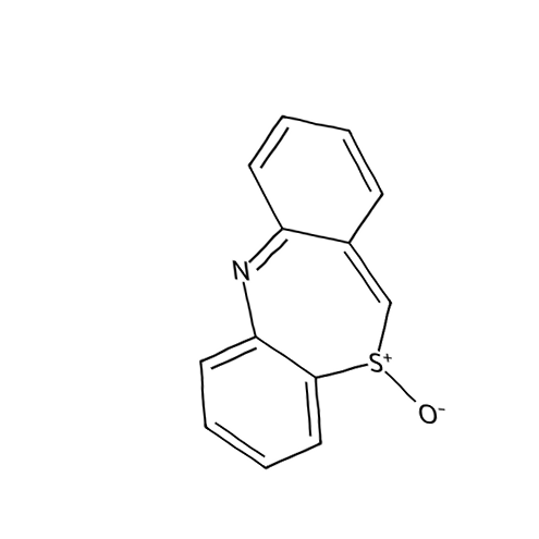 [O-][S+]1C=c2ccccc2=Nc2ccccc21